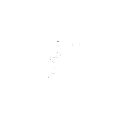 C/C=C/c1cc(CC(CC)CCCC)c(-c2nc3sc(-c4sc(C)cc4CC(CC)CCCC)nc3s2)s1